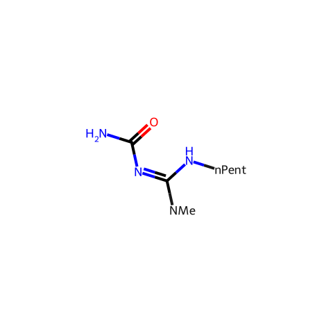 CCCCCN/C(=N\C(N)=O)NC